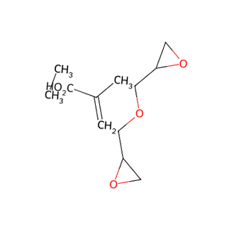 C(OCC1CO1)C1CO1.C=C(C)C(=O)O.CC